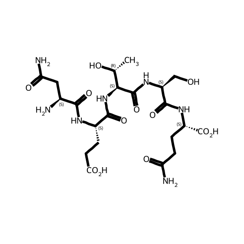 C[C@@H](O)[C@H](NC(=O)[C@H](CCC(=O)O)NC(=O)[C@@H](N)CC(N)=O)C(=O)N[C@@H](CO)C(=O)N[C@@H](CCC(N)=O)C(=O)O